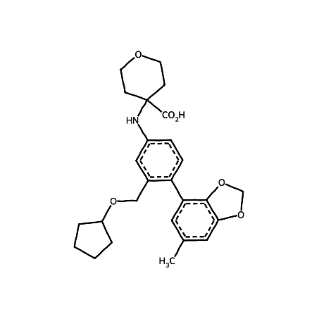 Cc1cc2c(c(-c3ccc(NC4(C(=O)O)CCOCC4)cc3COC3CCCC3)c1)OCO2